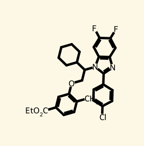 CCOC(=O)c1ccc(C)c(OCC(C2CCCCC2)n2c(-c3ccc(Cl)cc3)nc3cc(F)c(F)cc32)c1